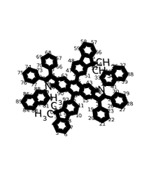 CC1(C)c2ccccc2-c2ccc(-c3c4cc5c(-c6ccccc6)c(-c6ccccc6)n(-c6ccc7ccccc7c6)c5cc4c(-c4ccc5c(c4)C(C)(C)c4ccccc4-5)c4cc5c(-c6ccccc6)c(-c6ccccc6)n(-c6ccc7ccccc7c6)c5cc34)cc21